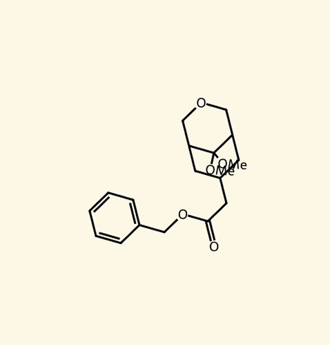 COC1(OC)C2COCC1CC(CC(=O)OCc1ccccc1)C2